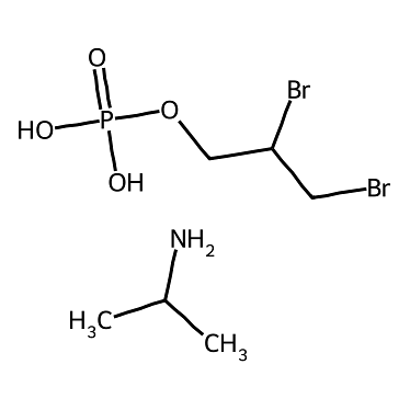 CC(C)N.O=P(O)(O)OCC(Br)CBr